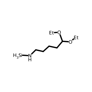 CCOC(CCCCN[SiH3])OCC